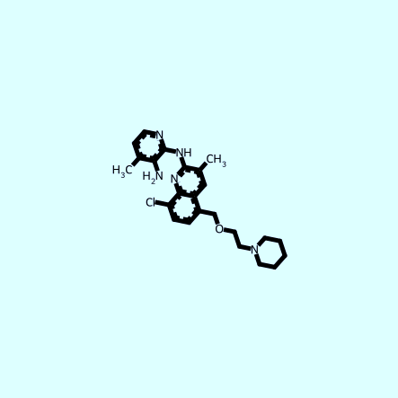 Cc1cc2c(COCCN3CCCCC3)ccc(Cl)c2nc1Nc1nccc(C)c1N